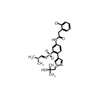 CN(C)C=NS(=O)(=O)c1cc(NC(=O)Cc2ccccc2Cl)ccc1-c1cnn(CC(C)(C)O)c1